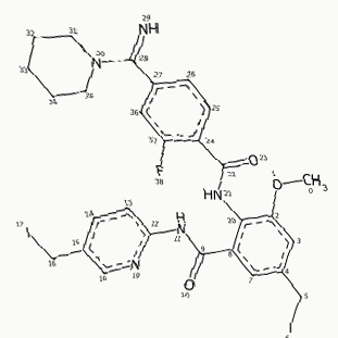 COc1cc(CI)cc(C(=O)Nc2ccc(CI)cn2)c1NC(=O)c1ccc(C(=N)N2CCCCC2)cc1F